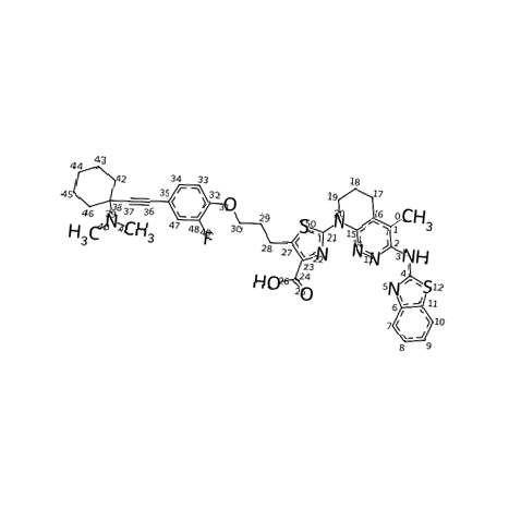 Cc1c(Nc2nc3ccccc3s2)nnc2c1CCCN2c1nc(C(=O)O)c(CCCOc2ccc(C#CC3(N(C)C)CCCCC3)cc2F)s1